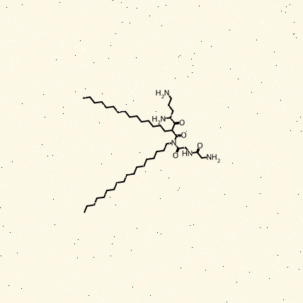 CCCCCCCCCCCCCCCCCCN(C(=O)CNC(=O)CN)C(=O)C(CCCCCCCCCCCCCCC)C(=O)C(N)CCCN